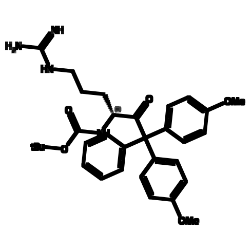 COc1ccc(C(C(=O)[C@@H](CCCNC(=N)N)NC(=O)OC(C)(C)C)(c2ccccc2)c2ccc(OC)cc2)cc1